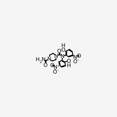 NC(=O)N1CCN(C(=O)N(c2cc([N+](=O)[O-])ccc2O)c2cc([N+](=O)[O-])ccc2O)CC1